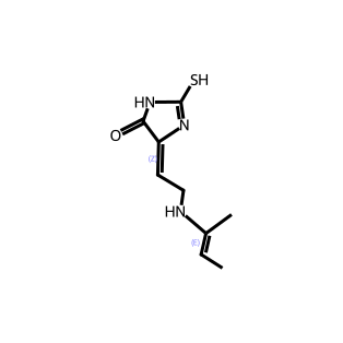 C/C=C(\C)NC/C=C1\N=C(S)NC1=O